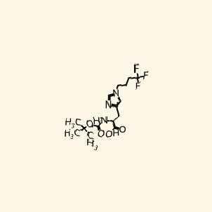 CC(C)(C)OC(=O)N[C@@H](Cc1cn(CCCC(F)(F)F)cn1)C(=O)O